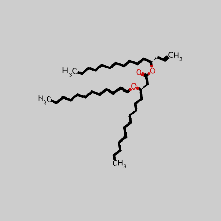 C=CC[C@@H](CCCCCCCCCCC)OC(=O)C[C@@H](CCCCCCCCCCC)OCCCCCCCCCCCC